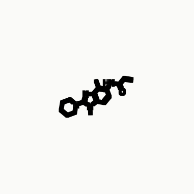 C=CC(=O)Nc1ccc2c(nc(N3CCCCC3)n2C)c1C